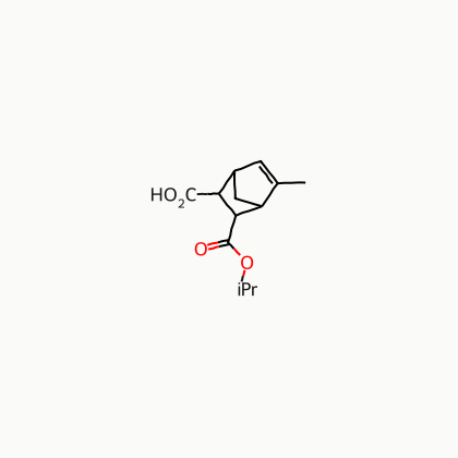 CC1=CC2CC1C(C(=O)OC(C)C)C2C(=O)O